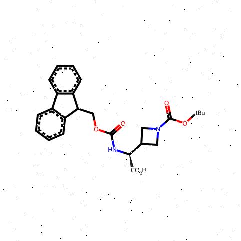 CC(C)(C)OC(=O)N1CC([C@H](NC(=O)OCC2c3ccccc3-c3ccccc32)C(=O)O)C1